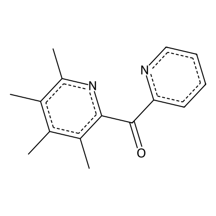 Cc1nc(C(=O)c2ccccn2)c(C)c(C)c1C